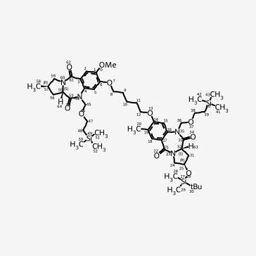 COc1cc2c(cc1OCCCCCOc1cc3c(cc1C)C(=O)N1C[C@H](O[Si](C)(C)C(C)(C)C)C[C@H]1C(=O)N3COCC[Si](C)(C)C)N(COCC[Si](C)(C)C)C(=O)[C@@H]1C[C@@H](C)CN1C2=O